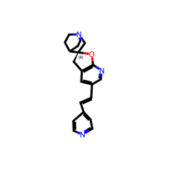 C(=Cc1cnc2c(c1)C[C@@]1(CN3CCC1CC3)O2)c1ccncc1